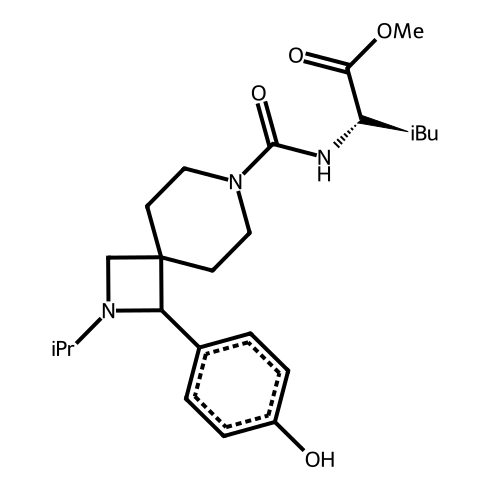 CC[C@H](C)[C@H](NC(=O)N1CCC2(CC1)CN(C(C)C)C2c1ccc(O)cc1)C(=O)OC